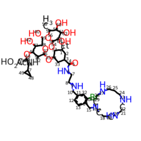 CCC1CC(C(=O)NCCNCc2ccc(CN3CCCNCCNCCCNCC3)c(Br)c2)CC(OC2OC(CO)C(O)C(O[C@@H](CC3CC3)C(=O)O)C2NC(C)=O)C1OC1OC(C)C(O)C(O)C1O